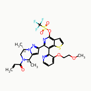 C=CC(=O)N1C[C@H](C)n2nc(-c3nc(OS(=O)(=O)C(F)(F)F)c4ccsc4c3-c3ncccc3OCCOC)cc2[C@H]1C